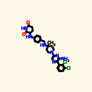 CC1(NCc2ccc(NC3CCC(=O)NC3=O)cc2)CCN(c2cnc(-c3cccc(Cl)c3Cl)c(N)n2)CC1